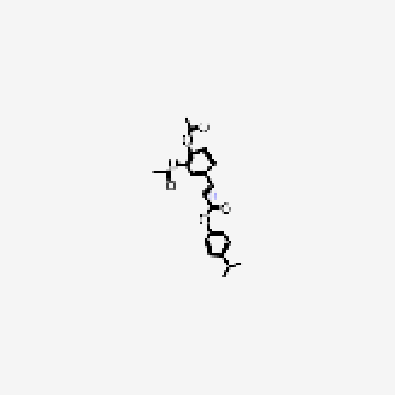 CC(=O)Oc1ccc(/C=C/C(=O)Oc2ccc(C(C)C)cc2)cc1OC(C)=O